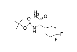 CC(C)(C)OC(=O)N[C@H](C(N)=O)C1CCC(F)(F)CC1